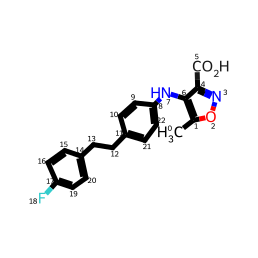 Cc1onc(C(=O)O)c1Nc1ccc(CCc2ccc(F)cc2)cc1